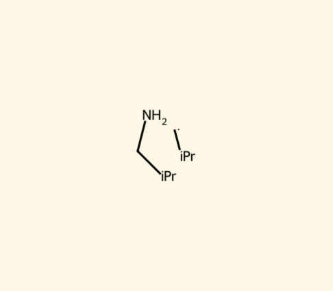 CC(C)CN.[CH2]C(C)C